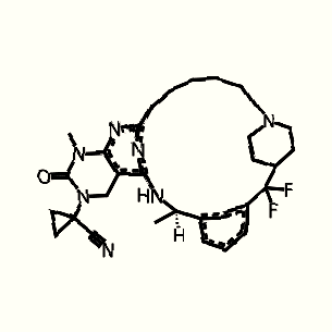 C[C@H]1Nc2nc(nc3c2CN(C2(C#N)CC2)C(=O)N3C)CCCCCN2CCC(CC2)C(F)(F)c2cccc1c2